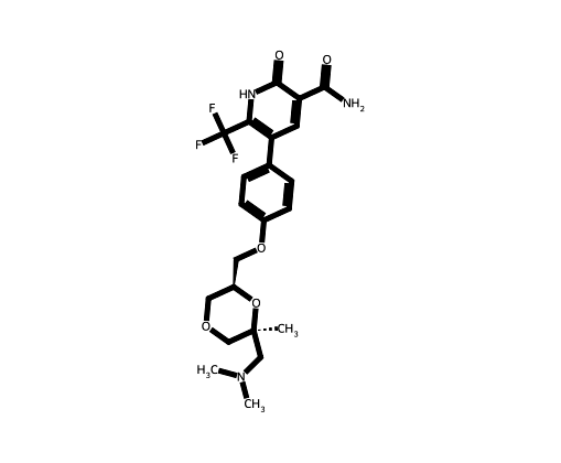 CN(C)C[C@@]1(C)COC[C@@H](COc2ccc(-c3cc(C(N)=O)c(=O)[nH]c3C(F)(F)F)cc2)O1